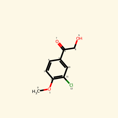 COc1ccc(C(=O)CO)cc1Cl